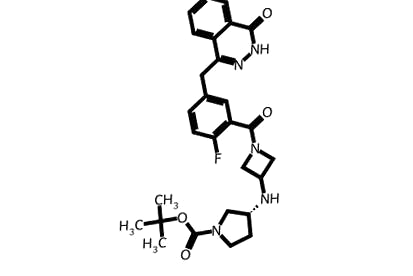 CC(C)(C)OC(=O)N1CC[C@@H](NC2CN(C(=O)c3cc(Cc4n[nH]c(=O)c5ccccc45)ccc3F)C2)C1